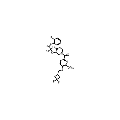 [2H]C1([2H])OC2CN(C(=O)c3ccc(OCC4CC(F)(F)C4)c(OC)n3)CC[C@]2(c2cccc(F)c2F)O1